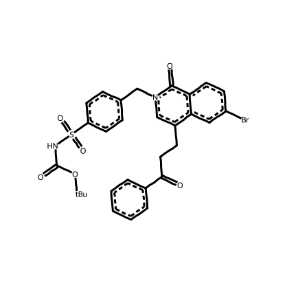 CC(C)(C)OC(=O)NS(=O)(=O)c1ccc(Cn2cc(CCC(=O)c3ccccc3)c3cc(Br)ccc3c2=O)cc1